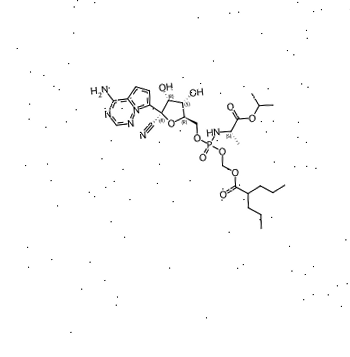 CCCC(CCC)C(=O)OCOP(=O)(N[C@@H](C)C(=O)OC(C)C)OC[C@H]1O[C@@](C#N)(c2ccc3c(N)ncnn23)[C@H](O)[C@@H]1O